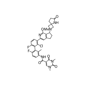 COc1nc(-c2ccc(F)c(-c3c(F)ccc(NC(=O)c4cn(C)c(=O)n(C)c4=O)c3C)c2Cl)cc2c1C(N1CC3(CCC(=O)N3)C1)CC2